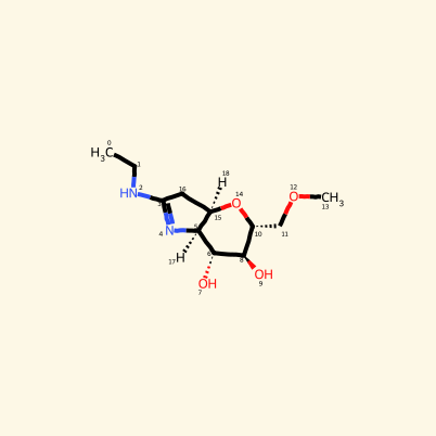 CCNC1=N[C@@H]2[C@@H](O)[C@H](O)[C@@H](COC)O[C@@H]2C1